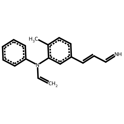 C=CN(c1ccccc1)c1cc(/C=C/C=N)ccc1C